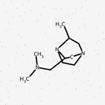 CC1CN2CCN1C(CN(C)C)C2